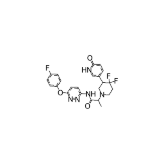 CC(C(=O)Nc1ccc(Oc2ccc(F)cc2)nn1)N1CCC(F)(F)C(c2ccc(=O)[nH]c2)C1